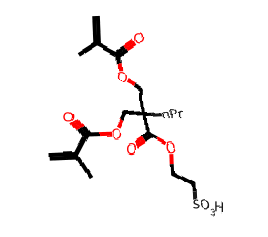 C=C(C)C(=O)OCC(CCC)(COC(=O)C(=C)C)C(=O)OCCS(=O)(=O)O